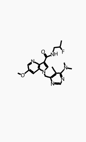 COc1cnc2c(C(=O)NCC(C)F)cn(Cc3ncnc(N(C)C)c3C)c2c1